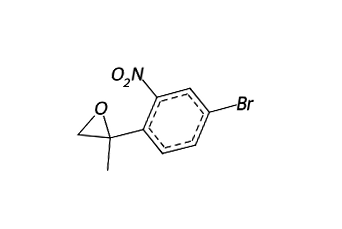 CC1(c2ccc(Br)cc2[N+](=O)[O-])CO1